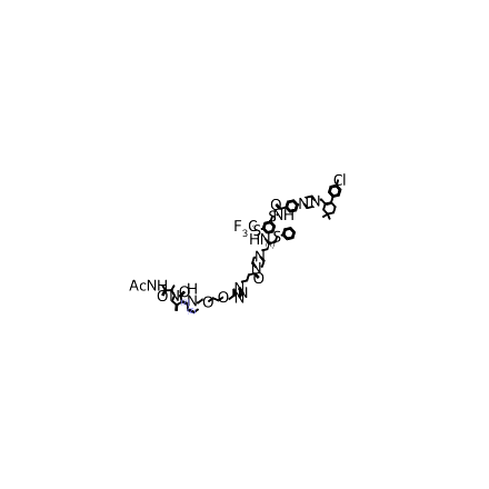 C=C1CN(C(C)C(=O)NC(C)=O)C(=O)/C1=C(/C=C\C)NCCOCCOCc1cn(CCCC(=O)N2CCN(CC[C@H](CSc3ccccc3)Nc3ccc(SNC(=O)c4ccc(N5CCN(CC6=C(c7ccc(Cl)cc7)CCC(C)(C)C6)CC5)cc4)cc3SC(F)(F)F)CC2)nn1